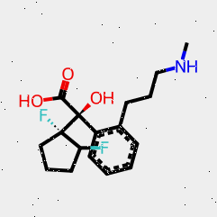 CNCCCc1ccccc1[C@@](O)(C(=O)O)[C@]1(F)CCCC1F